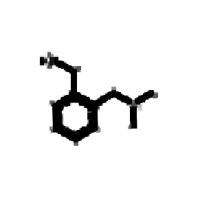 CN(C)Cc1cc[c]cc1CN